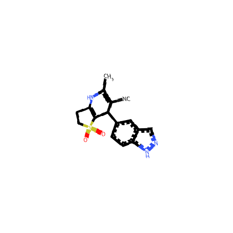 [C-]#[N+]C1=C(C)NC2=C(C1c1ccc3[nH]ncc3c1)S(=O)(=O)CC2